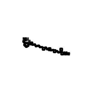 COC(=O)CCOCCOCCOCCCCCCOc1cccc(CN)c1